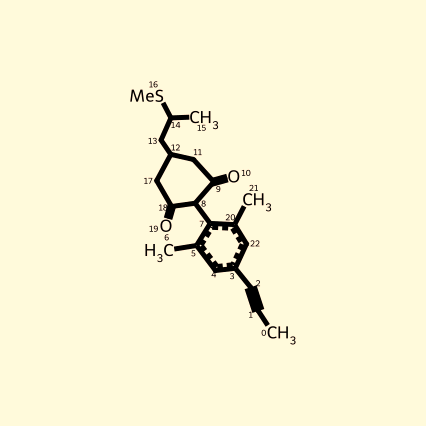 CC#Cc1cc(C)c(C2C(=O)CC(CC(C)SC)CC2=O)c(C)c1